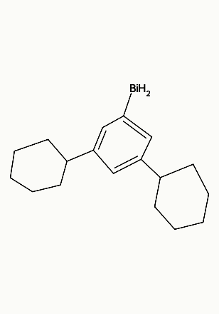 [BiH2][c]1cc(C2CCCCC2)cc(C2CCCCC2)c1